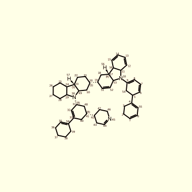 C1=CCCC(C2C=CC=C(N3C4C=CC=CC4[C@H]4CC([C@H]5CC[C@H]6C7CCCCC7N([C@H]7C=C(C8=CCCCC8)C[C@@H](C8CC=NCC8)C7)C6C5)C=CC43)C2)=C1